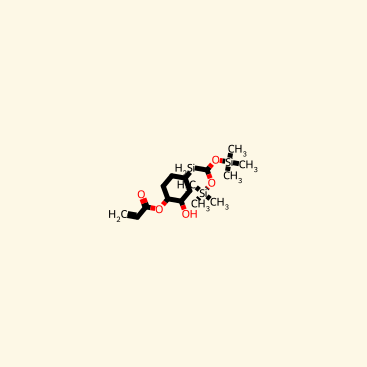 C=CC(=O)OC1CCC([SiH2]C(O[Si](C)(C)C)O[Si](C)(C)C)CC1O